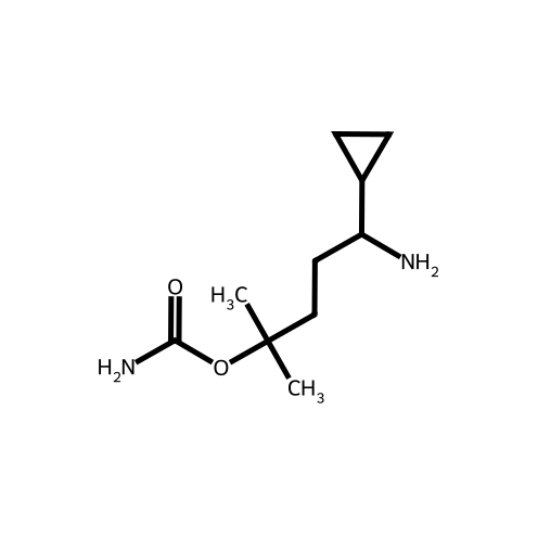 CC(C)(CCC(N)C1CC1)OC(N)=O